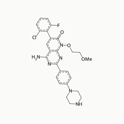 COCCOn1c(=O)c(-c2c(F)cccc2Cl)cc2c(N)nc(-c3ccc(N4CCNCC4)cc3)nc21